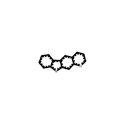 c1coc2cc3nc4ccccc4c3cc2c1